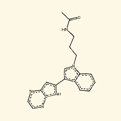 CC(=O)NCCCn1cc(-c2cc3nccnc3[nH]2)c2ccccc21